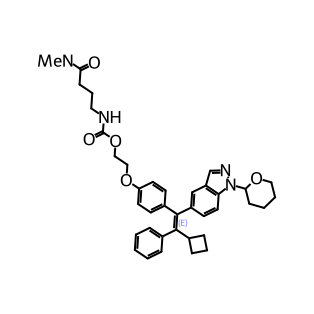 CNC(=O)CCCNC(=O)OCCOc1ccc(/C(=C(\c2ccccc2)C2CCC2)c2ccc3c(cnn3C3CCCCO3)c2)cc1